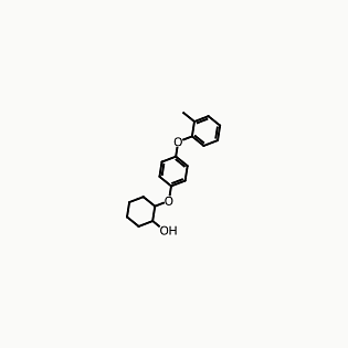 Cc1ccccc1Oc1ccc(OC2CCCCC2O)cc1